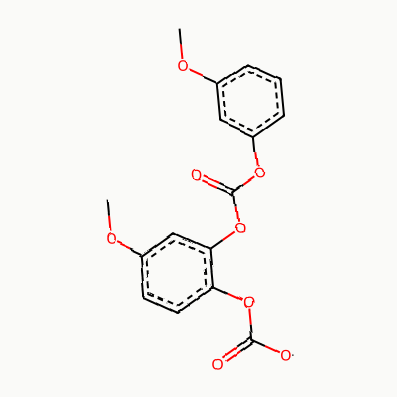 COc1cccc(OC(=O)Oc2cc(OC)ccc2OC([O])=O)c1